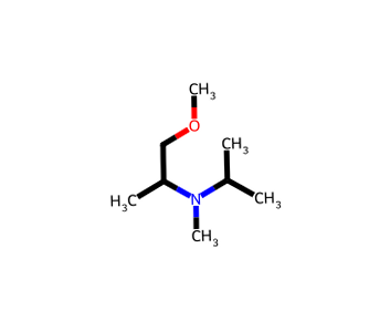 COCC(C)N(C)C(C)C